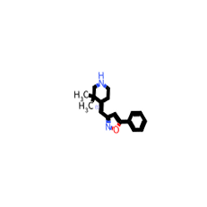 CC1(C)CNCC/C1=C\c1cc(-c2ccccc2)on1